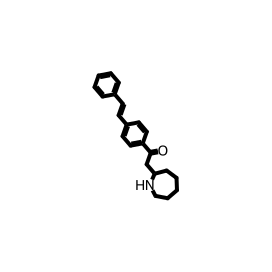 O=C(CC1CCCCCN1)c1ccc(C=Cc2ccccc2)cc1